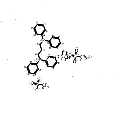 CC#N.CC#N.O=S(=O)([O-])C(F)(F)F.O=S(=O)([O-])C(F)(F)F.[Pd+2].c1ccc(P(CCCP(c2ccccc2)c2ccccc2)c2ccccc2)cc1